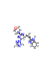 Cc1nc(C)n(-c2cc([C@@H]3C[C@H]3c3nc4ccccc4n3C)nc(N3CCOCC3)n2)n1